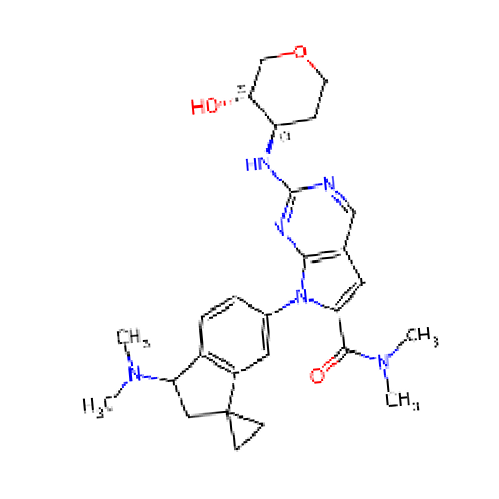 CN(C)C(=O)c1cc2cnc(N[C@@H]3CCOC[C@H]3O)nc2n1-c1ccc2c(c1)C1(CC1)CC2N(C)C